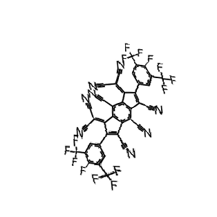 N#CC(C#N)=C1C(c2cc(C(F)(F)F)c(F)c(C(F)(F)F)c2)=C(C#N)c2c(C#N)c3c(c(C#N)c21)C(=C(C#N)C#N)C(c1cc(C(F)(F)F)c(F)c(C(F)(F)F)c1)=C3C#N